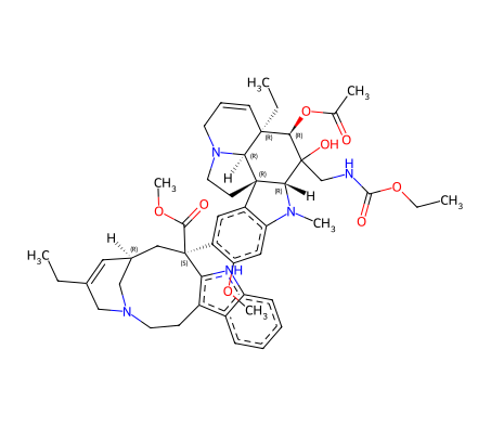 CCOC(=O)NCC1(O)[C@H](OC(C)=O)[C@]2(CC)C=CCN3CC[C@@]4(c5cc([C@@]6(C(=O)OC)C[C@@H]7C=C(CC)CN(CCc8c6[nH]c6ccccc86)C7)c(OC)cc5N(C)[C@@H]14)[C@@H]32